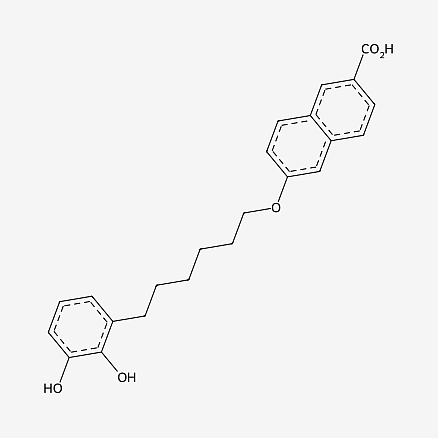 O=C(O)c1ccc2cc(OCCCCCCc3cccc(O)c3O)ccc2c1